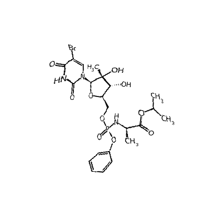 CC(C)OC(=O)[C@@H](C)NP(=O)(OC[C@H]1O[C@@H](n2cc(Br)c(=O)[nH]c2=O)[C@](C)(O)[C@@H]1O)Oc1ccccc1